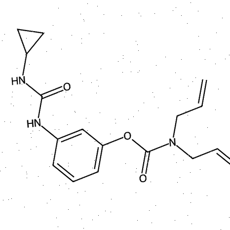 C=CCN(CC=C)C(=O)Oc1cccc(NC(=O)NC2CC2)c1